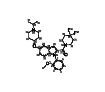 COc1ccccc1-n1c(C(=O)N2CCC(F)(F)CC2)cc2cc(OC3CCN(C(C)C)CC3)ccc21